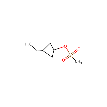 CCC1CC(OS(C)(=O)=O)C1